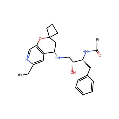 CCC(=O)N[C@@H](Cc1ccccc1)[C@H](O)CN[C@H]1CC2(CCC2)Oc2cnc(CC(C)(C)C)cc21